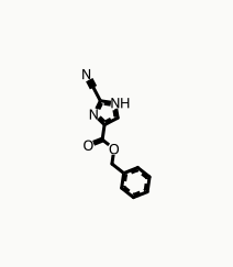 N#Cc1nc(C(=O)OCc2ccccc2)c[nH]1